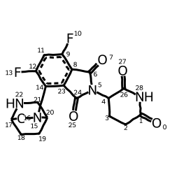 O=C1CCC(N2C(=O)c3c(F)cc(F)c(N4CC5CCC4CN5)c3C2=O)C(=O)N1